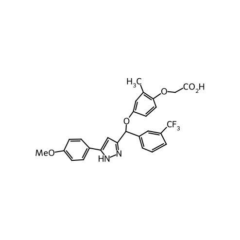 COc1ccc(-c2cc(C(Oc3ccc(OCC(=O)O)c(C)c3)c3cccc(C(F)(F)F)c3)n[nH]2)cc1